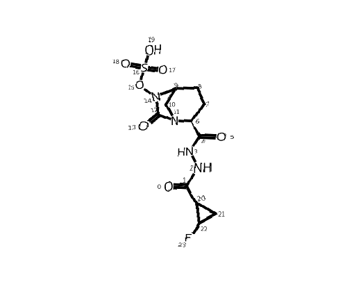 O=C(NNC(=O)[C@@H]1CCC2CN1C(=O)N2OS(=O)(=O)O)C1CC1F